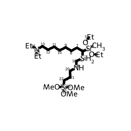 CCO[Si](C)(OCC)C(CCCCCCCN(CC)CC)[SiH2]CNCCC[Si](OC)(OC)OC